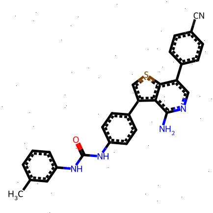 Cc1cccc(NC(=O)Nc2ccc(-c3csc4c(-c5ccc(C#N)cc5)cnc(N)c34)cc2)c1